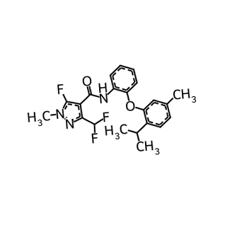 Cc1ccc(C(C)C)c(Oc2ccccc2NC(=O)c2c(C(F)F)nn(C)c2F)c1